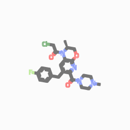 C[C@H]1COc2nc(C(=O)N3CCN(C)CC3)c(Cc3ccc(F)cc3)cc2N1C(=O)CCl